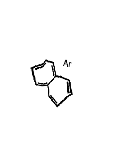 [Ar].c1ccc2ccccc2c1